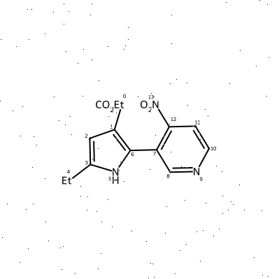 CCOC(=O)c1cc(CC)[nH]c1-c1cnccc1[N+](=O)[O-]